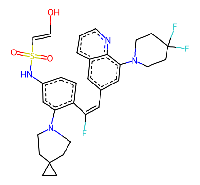 O=S(=O)(C=CO)Nc1ccc(/C(F)=C\c2cc(N3CCC(F)(F)CC3)c3ncccc3c2)c(N2CCC3(CC2)CC3)c1